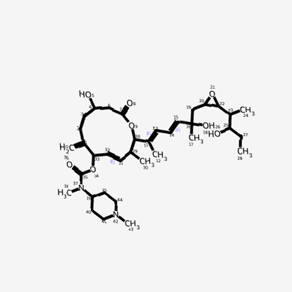 C=C1CCC(O)CC(=O)OC(/C(C)=C/C=C/C(C)(O)CC2OC2C(C)C(O)CC)C(C)/C=C/C1OC(=O)N(C)C1CCN(C)CC1